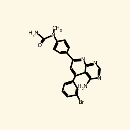 CN(C(N)=O)c1ccc(-c2cc(-c3cccc(Br)c3)c3c(N)ncnc3n2)cc1